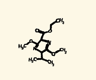 CCOC(=O)C1N=C(OC)C(C(C)C)N=C1OC